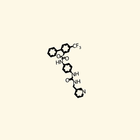 O=C(NCc1cccnc1)Nc1ccc(NS(=O)(=O)c2cc(C(F)(F)F)ccc2-c2ccccc2)cc1